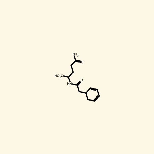 NC(=O)CCC(NC(=O)CC1C=CC=CC1)C(=O)O